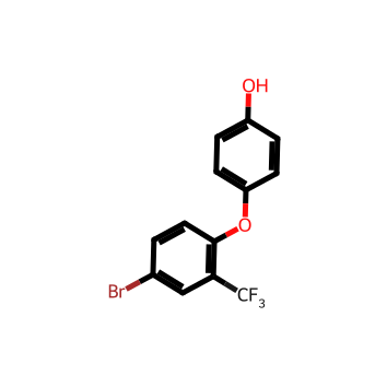 Oc1ccc(Oc2ccc(Br)cc2C(F)(F)F)cc1